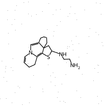 NCCNC1CC23CCCCC2=CN2C=CCCC2=C3S1